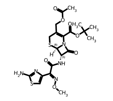 CON=C(C(=O)N[C@H]1C(=O)N2C(C(=O)OC(C)(C)C)=C(COC(C)=O)CS[C@H]12)c1csc(N)n1